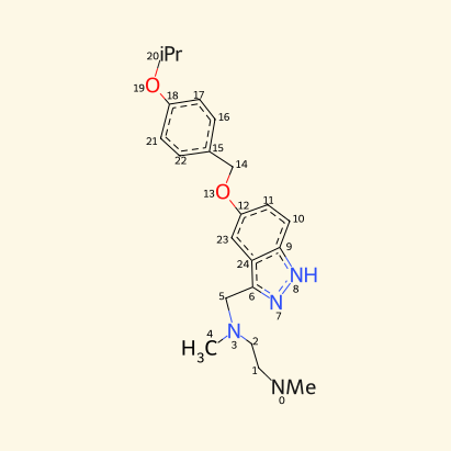 CNCCN(C)Cc1n[nH]c2ccc(OCc3ccc(OC(C)C)cc3)cc12